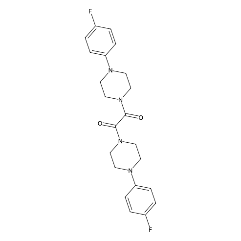 O=C(C(=O)N1CCN(c2ccc(F)cc2)CC1)N1CCN(c2ccc(F)cc2)CC1